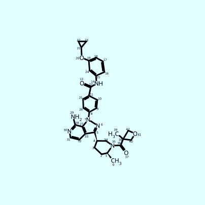 C[C@H]1CC[C@@H](c2nn(-c3ccc(C(=O)Nc4cccc(OC5CC5)c4)cc3)c3c(N)nccc23)CN1C(=O)C1(C)COC1